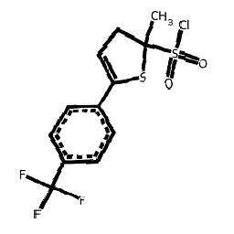 CC1(S(=O)(=O)Cl)CC=C(c2ccc(C(F)(F)F)cc2)S1